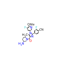 COc1ncc(-n2c(-c3ccc(C#N)c(F)c3)nc(C(=O)N3CCC[C@H](N)C3)c2C)cc1F